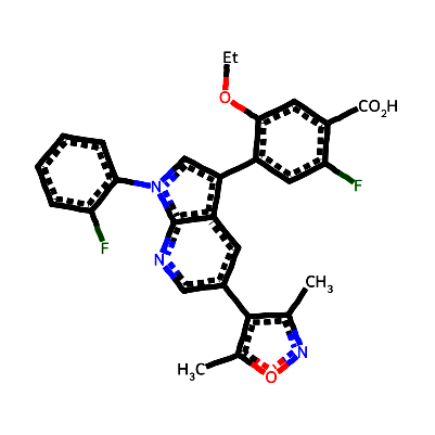 CCOc1cc(C(=O)O)c(F)cc1-c1cn(-c2ccccc2F)c2ncc(-c3c(C)noc3C)cc12